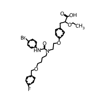 CCOC(Cc1ccc(OCCN(CCCCOCc2ccc(F)cc2)C(=O)Nc2ccc(Br)cc2)cc1)C(=O)O